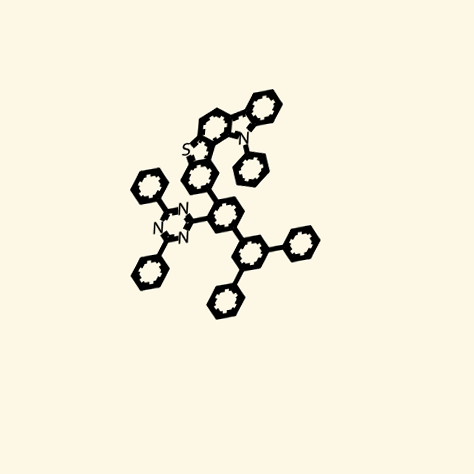 c1ccc(-c2cc(-c3ccccc3)cc(-c3ccc(-c4ccc5sc6ccc7c8ccccc8n(-c8ccccc8)c7c6c5c4)c(-c4nc(-c5ccccc5)nc(-c5ccccc5)n4)c3)c2)cc1